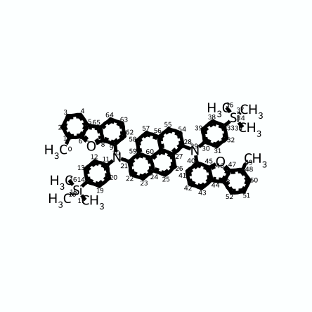 Cc1cccc2c1oc1c(N(c3ccc([Si](C)(C)C)cc3)c3ccc4ccc5c(N(c6ccc([Si](C)(C)C)cc6)c6cccc7c6oc6c(C)cccc67)ccc6ccc3c4c65)cccc12